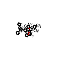 N#Cc1cc(C#N)c(-c2ccc3c(c2)c2ccccc2n3-c2c(-c3ccccc3C(F)(F)F)cc(-c3cc(-c4ccccc4)nc(-c4ccccc4)n3)cc2-c2ccccc2C(F)(F)F)c(C#N)c1